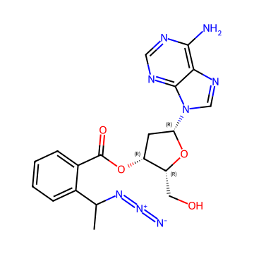 CC(N=[N+]=[N-])c1ccccc1C(=O)O[C@@H]1C[C@H](n2cnc3c(N)ncnc32)O[C@@H]1CO